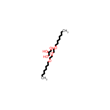 CCCCCCCCOCCOCCOCCCCCCCC.OCC(O)CO